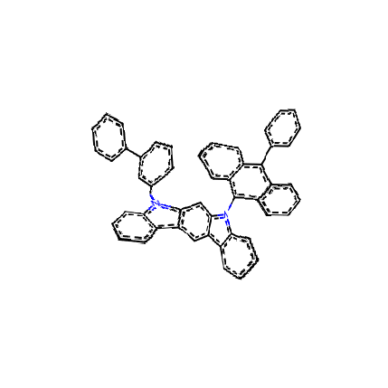 c1ccc(-c2cccc(-n3c4ccccc4c4cc5c6ccccc6n(-c6c7ccccc7c(-c7ccccc7)c7ccccc67)c5cc43)c2)cc1